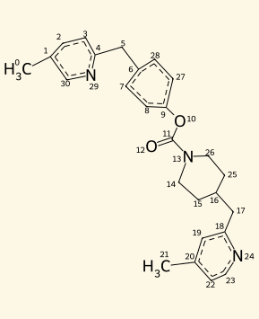 Cc1ccc(Cc2ccc(OC(=O)N3CCC(Cc4cc(C)ccn4)CC3)cc2)nc1